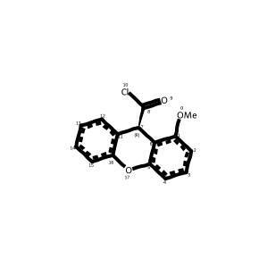 COc1cccc2c1[C@H](C(=O)Cl)c1ccccc1O2